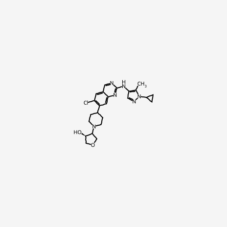 Cc1c(Nc2ncc3cc(Cl)c(C4CCN(C5COC[C@H]5O)CC4)cc3n2)cnn1C1CC1